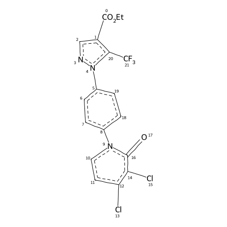 CCOC(=O)c1cnn(-c2ccc(-n3ccc(Cl)c(Cl)c3=O)cc2)c1C(F)(F)F